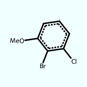 COc1c[c]cc(Cl)c1Br